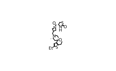 CCc1cc2c(s1)CCO[C@@]21CCN(CC2CN(C(=O)[C@@H]3CSC(=O)N3)C2)[C@@H](C)C1